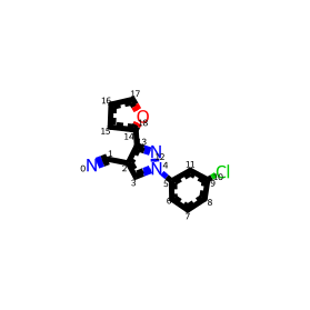 N#Cc1cn(-c2cccc(Cl)c2)nc1-c1ccco1